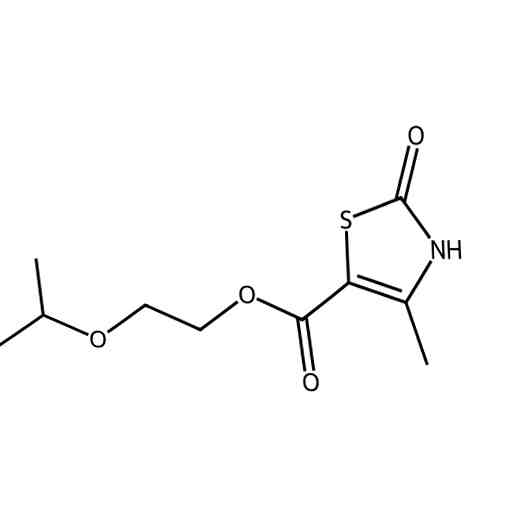 Cc1[nH]c(=O)sc1C(=O)OCCOC(C)C